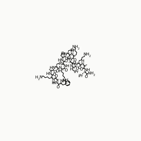 CC(C)C[C@H](NC(=O)[C@H](C)NC(=O)[C@H](CCCCN)NC(=O)[C@H](CC(C)C)NC(=O)[C@H](C)NC(=O)[C@H](CCCCN)NC(=O)[C@H](CC(C)C)NC(=O)[C@H](CC(C)C)NC(=O)[C@H](C)NC(=O)[C@H](CCCCN)NC(=O)[C@H](CC(C)C)NC(=O)[C@H](C)NC(=O)[C@H](CCCCN)NC(=O)[C@H](C)NC(=O)[C@@H](N)Cc1ccccc1)C(N)=O